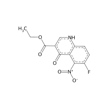 CCOC(=O)c1c[nH]c2ccc(F)c([N+](=O)[O-])c2c1=O